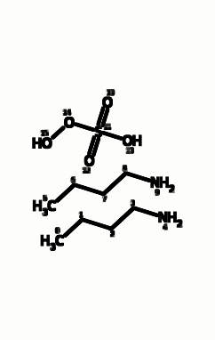 CCCCN.CCCCN.O=S(=O)(O)OO